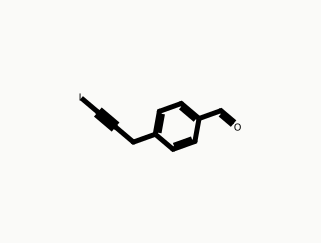 O=Cc1ccc(CC#CI)cc1